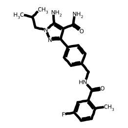 Cc1ccc(F)cc1C(=O)NCc1ccc(-c2nn(CC(C)C)c(N)c2C(N)=O)cc1